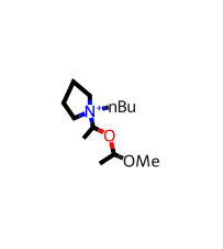 CCCC[N+]1(C(C)OC(C)OC)CCCC1